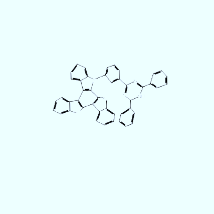 c1ccc(C2=NC(c3cccc(-n4c5ccccc5c5c6c7ccccc7oc6c6c7ccccc7sc6c54)c3)=NC(c3ccccc3)N2)cc1